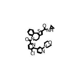 O=C(NC1CC1)c1cc2c(s1)-c1ccccc1N(C(=O)c1ccc(Cl)c(-c3ccnc(N4CCOCC4)c3)n1)CC2